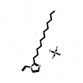 C=Cn1ccnc1CCCCCCCCCCCC.F[B-](F)(F)F